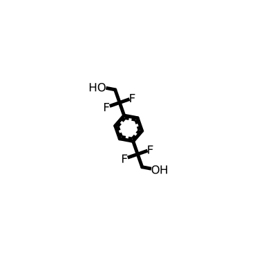 OCC(F)(F)c1ccc(C(F)(F)CO)cc1